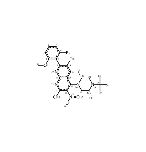 COc1cccc(F)c1-c1nc2nc(Cl)c([N+](=O)[O-])c(N3C[C@@H](C)N(C(C)(C)C)C[C@H]3C)c2cc1F